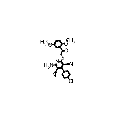 COc1ccc(OC)c(C(=O)CSc2nc(N)c(C#N)c(-c3ccc(Cl)cc3)c2C#N)c1